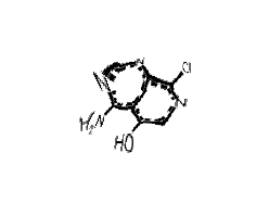 Nc1ncnc2c(Cl)ncc(O)c12